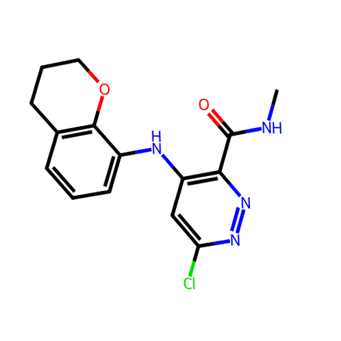 CNC(=O)c1nnc(Cl)cc1Nc1cccc2c1OCCC2